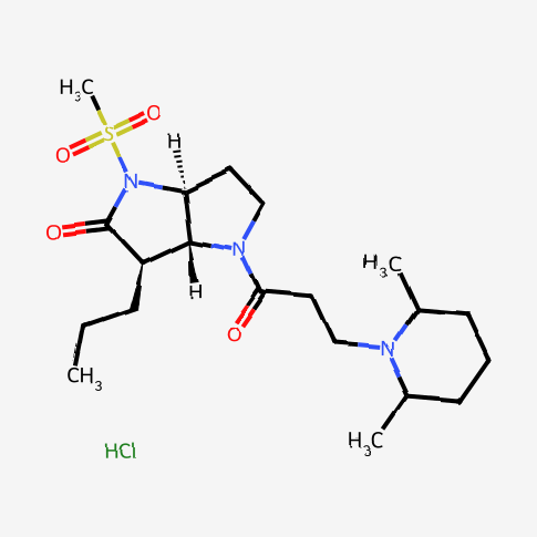 CCC[C@H]1C(=O)N(S(C)(=O)=O)[C@H]2CCN(C(=O)CCN3C(C)CCCC3C)[C@H]12.Cl